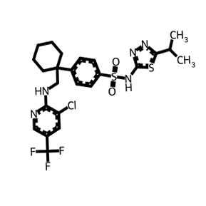 CC(C)c1nnc(NS(=O)(=O)c2ccc(C3(CNc4ncc(C(F)(F)F)cc4Cl)CCCCC3)cc2)s1